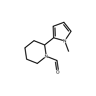 Cn1cccc1C1CCCCN1C=O